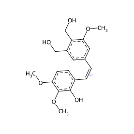 COc1cc(/C=C\c2ccc(OC)c(OC)c2O)cc(CO)c1CO